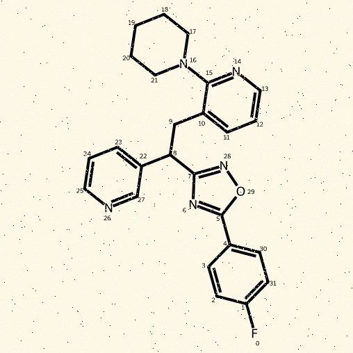 Fc1ccc(-c2nc(C(Cc3cccnc3N3CCCCC3)c3cccnc3)no2)cc1